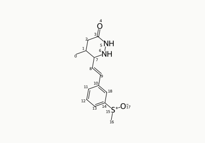 CC1CC(=O)NNC1/C=C/c1cccc([S+](C)[O-])c1